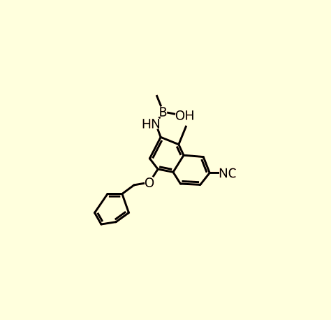 [C-]#[N+]c1ccc2c(OCc3ccccc3)cc(NB(C)O)c(C)c2c1